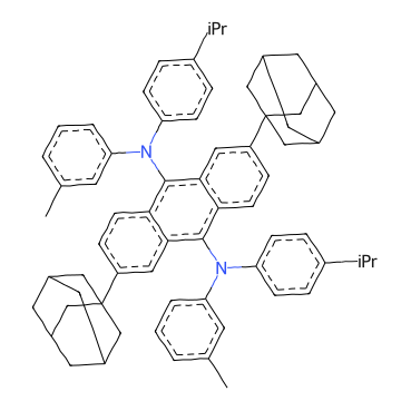 Cc1cccc(N(c2ccc(C(C)C)cc2)c2c3ccc(C45CC6CC(CC(C6)C4)C5)cc3c(N(c3ccc(C(C)C)cc3)c3cccc(C)c3)c3ccc(C45CC6CC(CC(C6)C4)C5)cc23)c1